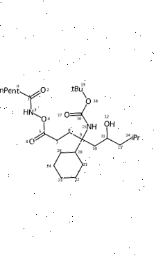 CCCCCC(=O)NOC(=O)CCC(CC(O)CC(C)C)(NC(=O)OC(C)(C)C)C1CCCCC1